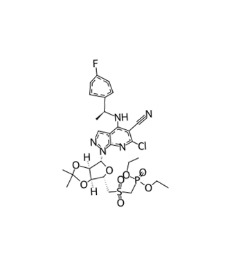 CCOP(=O)(CS(=O)(=O)C[C@H]1O[C@@H](n2ncc3c(N[C@@H](C)c4ccc(F)cc4)c(C#N)c(Cl)nc32)[C@@H]2OC(C)(C)O[C@@H]21)OCC